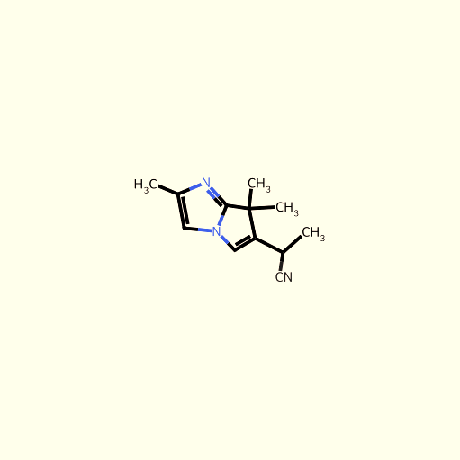 Cc1cn2c(n1)C(C)(C)C(C(C)C#N)=C2